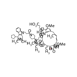 COc1cc2cc(c1Cl)N(C)C(=O)C[C@H](OC(=O)[C@@H](C)N(C)N(CCOCCOCCC(=O)O)C1CCN(C(=O)CCn3c4c(c5ccccc53)C(C3CCCC3)N(C)N(C)C4)CC1)[C@]1(C)OC1[C@H](C)[C@@H]1C[C@@](O)(NC(=O)O1)[C@H](OC)/C=C/C=C(\C)C2